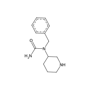 NC(=O)N(Cc1ccccc1)C1CCCNC1